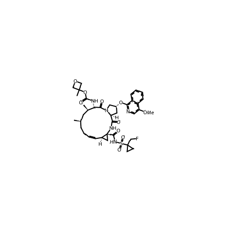 COc1cnc(O[C@@H]2C[C@H]3C(=O)N[C@]4(C(=O)NS(=O)(=O)C5(CF)CC5)C[C@H]4/C=C\CC[C@@H](C)C[C@@H](C)[C@H](NC(=O)OC4(C)COC4)C(=O)N3C2)c2ccccc12